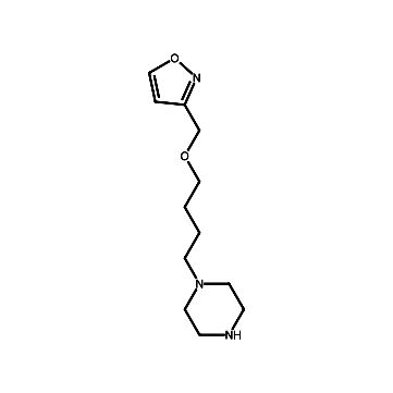 c1cc(COCCCCN2CCNCC2)no1